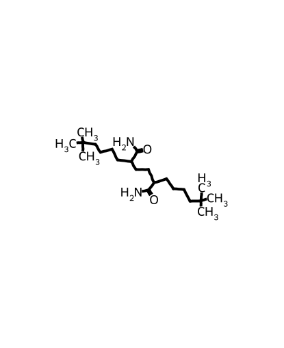 CC(C)(C)CCCCC(CCC(CCCCC(C)(C)C)C(N)=O)C(N)=O